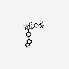 CC(C)(C)C(=O)N1CCC(Cn2c(-c3ccc(-c4ccc5occc5c4)cc3)n[nH]c2=O)C1